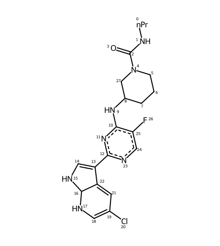 CCCNC(=O)N1CCCC(Nc2nc(C3=CNC4NC=C(Cl)C=C34)ncc2F)C1